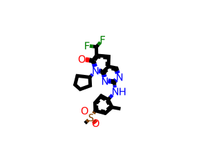 Cc1cc(S(C)(=O)=O)ccc1Nc1ncc2cc(C(F)F)c(=O)n(C3CCCC3)c2n1